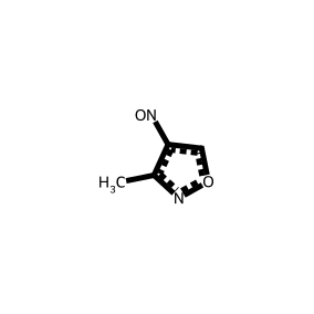 Cc1nocc1N=O